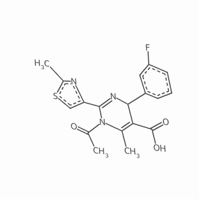 CC(=O)N1C(c2csc(C)n2)=NC(c2cccc(F)c2)C(C(=O)O)=C1C